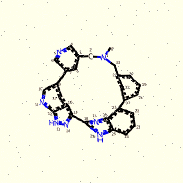 CN1Cc2cncc(c2)-c2cnc3[nH]nc(c3c2)-c2nc3c(cccc3[nH]2)-c2cccc(c2)C1